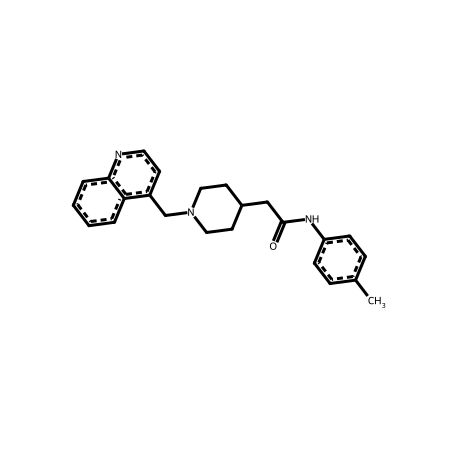 Cc1ccc(NC(=O)CC2CCN(Cc3ccnc4ccccc34)CC2)cc1